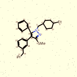 CCC1CCC(Cn2nc(SC)c(-c3cccc(CC(C)C)c3)c2-c2ccccc2)CC1